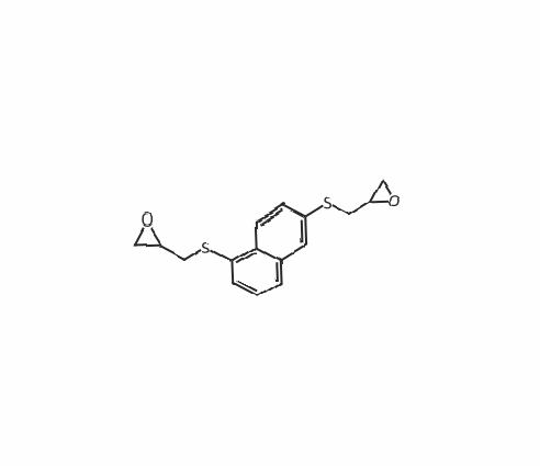 c1cc(SCC2CO2)c2ccc(SCC3CO3)cc2c1